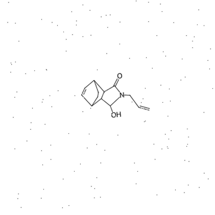 C=CCN1C(=O)C2C3C=CC(CC3)C2C1O